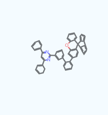 C1=CCCC(c2cc(-c3ccccc3)nc(-c3cccc(-c4ccccc4-c4ccc5c(c4)Oc4ccccc4C54c5ccccc5-c5ccccc54)c3)n2)=C1